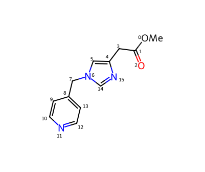 COC(=O)Cc1cn(Cc2ccncc2)cn1